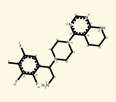 Cc1c(F)cc(C(CN)N2CCN(c3ncnc4c3CCCN4)CC2)c(F)c1F